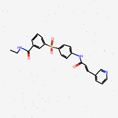 CCNC(=O)c1cccc(S(=O)(=O)c2ccc(NC(=O)C=Cc3cccnc3)cc2)c1